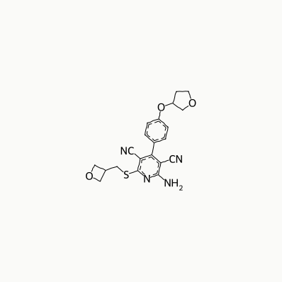 N#Cc1c(N)nc(SCC2COC2)c(C#N)c1-c1ccc(OC2CCOC2)cc1